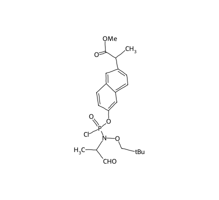 COC(=O)C(C)c1ccc2cc(OP(=O)(Cl)N(OCC(C)(C)C)C(C)C=O)ccc2c1